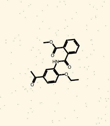 CCOc1ccc(C(C)=O)cc1NC(=O)c1ccccc1C(=O)OC